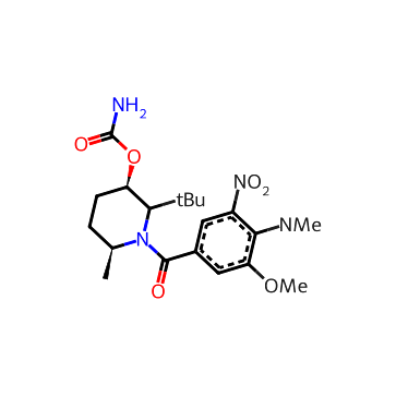 CNc1c(OC)cc(C(=O)N2C(C(C)(C)C)[C@H](OC(N)=O)CC[C@@H]2C)cc1[N+](=O)[O-]